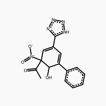 CC(=O)C1([N+](=O)[O-])C=C(c2nnn[nH]2)C=C(c2ccccc2)C1O